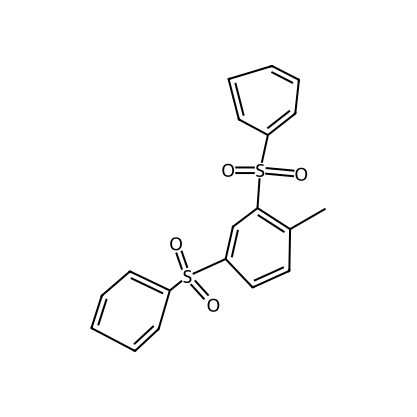 Cc1ccc(S(=O)(=O)c2ccccc2)cc1S(=O)(=O)c1ccccc1